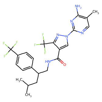 Cc1cnc(-n2cc(C(=O)NCC(CC(C)C)c3ccc(C(F)(F)F)cc3)c(C(F)(F)F)n2)nc1N